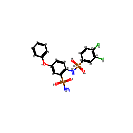 NS(=O)(=O)c1cc(Oc2ccccc2)ccc1NS(=O)(=O)c1ccc(Cl)c(Cl)c1